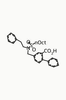 CCCCCCCCS(=O)(=O)N(CCc1ccccc1)Cc1ccc(-c2ccccc2)c(C(=O)O)c1